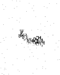 CC1(C)OB(c2cnn(C3CCN([S+]([O-])C4CC4)CC3)c2)OC1(C)C